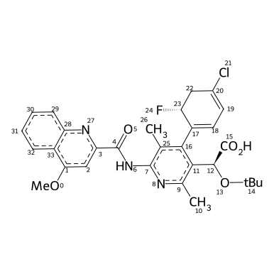 COc1cc(C(=O)Nc2nc(C)c([C@H](OC(C)(C)C)C(=O)O)c(C3=CC=C(Cl)C[C@H]3F)c2C)nc2ccccc12